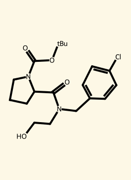 CC(C)(C)OC(=O)N1CCCC1C(=O)N(CCO)Cc1ccc(Cl)cc1